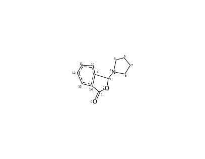 O=C1OC(N2CCCC2)c2ccccc21